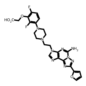 Nc1nc2c(ncn2CCN2CCN(c3ccc(F)c(OCC(=O)O)c3F)CC2)c2nc(-c3ccco3)nn12